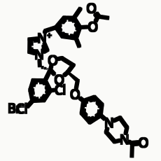 CC(=O)Oc1c(C)cc(C[n+]2ccn(C[C@]3(c4ccc(Cl)cc4Cl)OCC[C@@H](COc4ccc(N5CCN(C(C)=O)CC5)cc4)O3)c2)cc1C.[Br-]